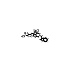 Cl.Cl.NC(CCCCB(O)O)(C(=O)O)C1CCN(Cc2csc3ccccc23)CC1